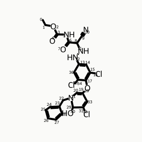 CCOC(=O)NC(=O)C(C#N)NNc1cc(Cl)c(OC2=CN(Cc3ccccc3)C(O)C(Cl)=C2)c(Cl)c1